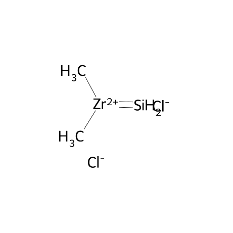 [CH3][Zr+2]([CH3])=[SiH2].[Cl-].[Cl-]